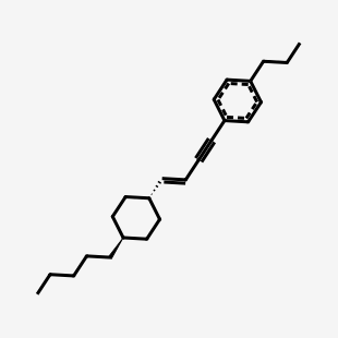 CCCCC[C@H]1CC[C@H](/C=C/C#Cc2ccc(CCC)cc2)CC1